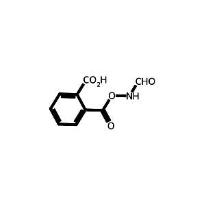 O=CNOC(=O)c1ccccc1C(=O)O